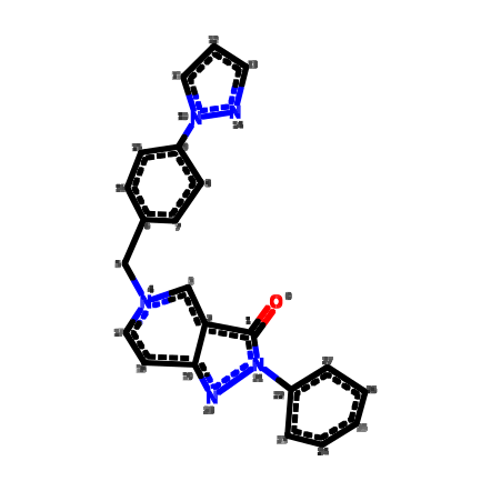 O=c1c2cn(Cc3ccc(-n4cccn4)cc3)ccc-2nn1-c1ccccc1